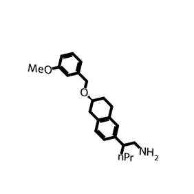 CCCC(CN)c1ccc2c(c1)CC[C@H](OCc1cccc(OC)c1)C2